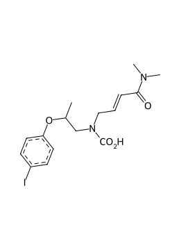 CC(CN(C/C=C/C(=O)N(C)C)C(=O)O)Oc1ccc(I)cc1